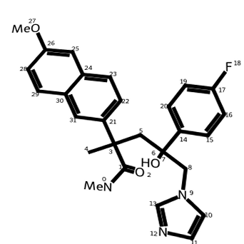 CNC(=O)C(C)(CC(O)(Cn1ccnc1)c1ccc(F)cc1)c1ccc2cc(OC)ccc2c1